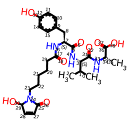 CC(C)[C@H](NC(=O)[C@H](Cc1ccc(O)cc1)NC(=O)CCCCCN1C(=O)C=CC1O)C(=O)N[C@@H](C)C(=O)O